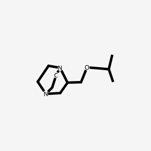 CC(C)OCC1CN2CCN1CC2